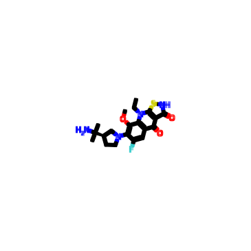 CCn1c2s[nH]c(=O)c2c(=O)c2cc(F)c(N3CC[C@@H](C(C)(C)N)C3)c(OC)c21